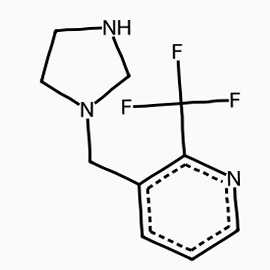 FC(F)(F)c1ncccc1CN1CCNC1